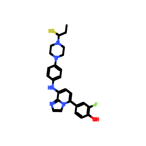 CCC(S)N1CCN(c2ccc(Nc3ccc(-c4ccc(O)c(F)c4)n4ccnc34)cc2)CC1